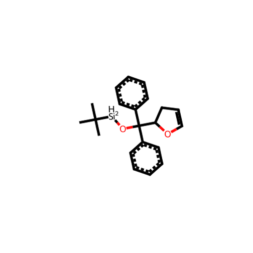 CC(C)(C)[SiH2]OC(c1ccccc1)(c1ccccc1)C1CC=CO1